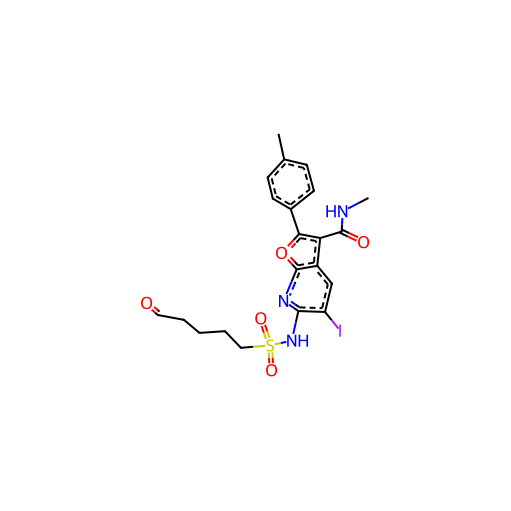 CNC(=O)c1c(-c2ccc(C)cc2)oc2nc(NS(=O)(=O)CCCCC=O)c(I)cc12